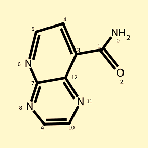 NC(=O)c1ccnc2nccnc12